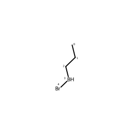 CCCBBr